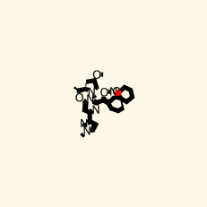 CO[C@@H]1C[C@@H]([C@H](C)Oc2cc(-c3ccn(C)n3)nc(-c3onc4c3CCC[C@@]43CCCCC3=O)n2)N(C)C1